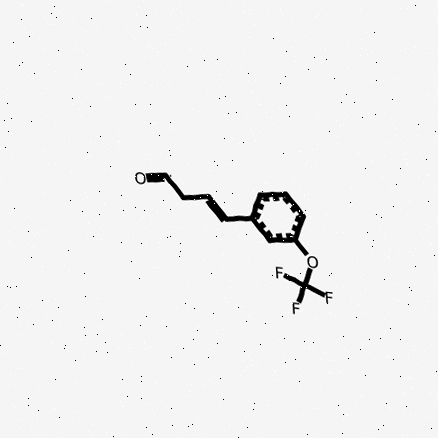 O=[C]CC=Cc1cccc(OC(F)(F)F)c1